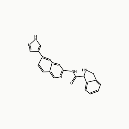 O=C(Nc1cc2cc(-c3cn[nH]c3)ccc2cn1)C1NCc2ccccc21